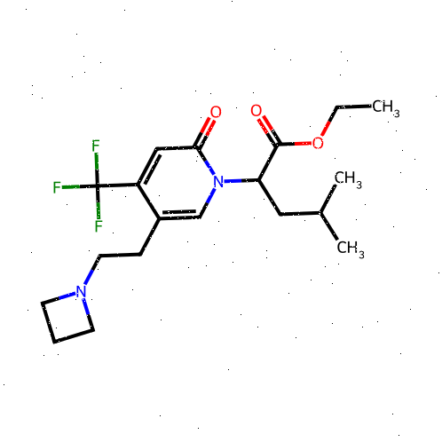 CCOC(=O)C(CC(C)C)n1cc(CCN2CCC2)c(C(F)(F)F)cc1=O